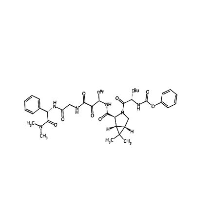 CCCC(NC(=O)[C@@H]1[C@@H]2[C@H](CN1C(=O)[C@@H](NC(=O)Oc1ccccc1)C(C)(C)C)C2(C)C)C(=O)C(=O)NCC(=O)N[C@H](C(=O)N(C)C)c1ccccc1